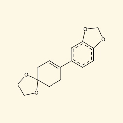 C1=C(c2ccc3c(c2)OCO3)CCC2(C1)OCCO2